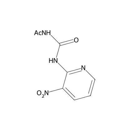 [CH2]C(=O)NC(=O)Nc1ncccc1[N+](=O)[O-]